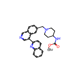 CC(C)(C)OC(=O)NC1CCN(Cc2ccc3cncc(-c4ccc5ccccc5n4)c3c2)CC1